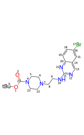 CC(C)(C)OC(=O)N1CCN(CCNc2ncc3cc(Br)ccc3n2)CC1